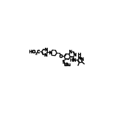 Cc1n[nH]c(Nc2ncnc3cc(OCC4CCN(c5ncc(C(=O)O)cn5)CC4)c(SC(C)(C)C)cc23)c1C